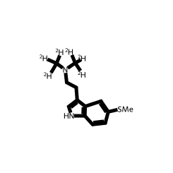 [2H]C([2H])([2H])N(CCc1c[nH]c2ccc(SC)cc12)C([2H])([2H])[2H]